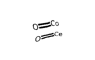 [O]=[Ce].[O]=[Co]